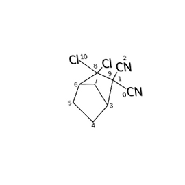 N#CC1(C#N)C2CCC(C2)C1(Cl)Cl